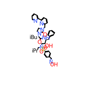 CC[C@H](C)[C@@H](C(=O)N[C@@H](Cc1ccccc1)[C@H](O)CN(CC(C)C)S(=O)(=O)c1ccc(/C=N/O)cc1)N1CCN(Cc2cccc(-c3ccccn3)n2)C1=O